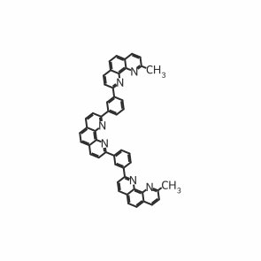 Cc1ccc2ccc3ccc(-c4cccc(-c5ccc6ccc7ccc(-c8cccc(-c9ccc%10ccc%11ccc(C)nc%11c%10n9)c8)nc7c6n5)c4)nc3c2n1